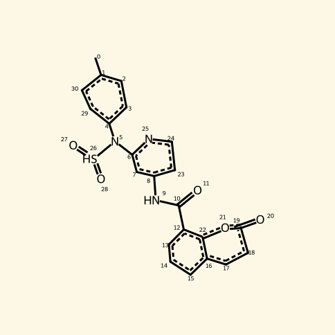 Cc1ccc(N(c2cc(NC(=O)c3cccc4ccc(=O)oc34)ccn2)[SH](=O)=O)cc1